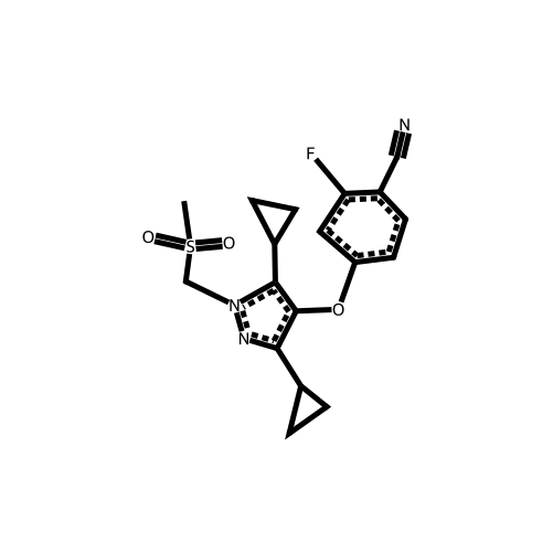 CS(=O)(=O)Cn1nc(C2CC2)c(Oc2ccc(C#N)c(F)c2)c1C1CC1